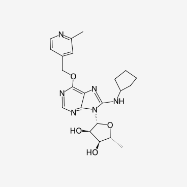 Cc1cc(COc2ncnc3c2nc(NC2CCCC2)n3[C@@H]2O[C@H](C)[C@@H](O)[C@H]2O)ccn1